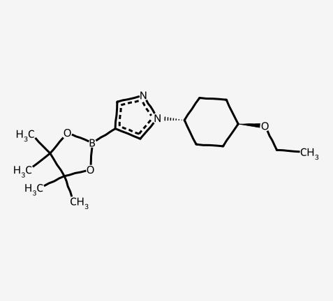 CCO[C@H]1CC[C@H](n2cc(B3OC(C)(C)C(C)(C)O3)cn2)CC1